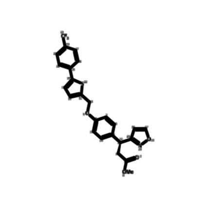 COC(=O)C[C@@H](c1ccc(OCc2ccc(-c3ccc(C(F)(F)F)cc3)s2)cc1)c1ccon1